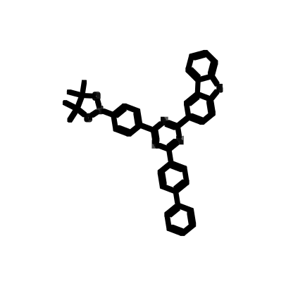 CC1(C)OB(c2ccc(-c3nc(-c4ccc(-c5ccccc5)cc4)nc(-c4ccc5sc6ccccc6c5c4)n3)cc2)OC1(C)C